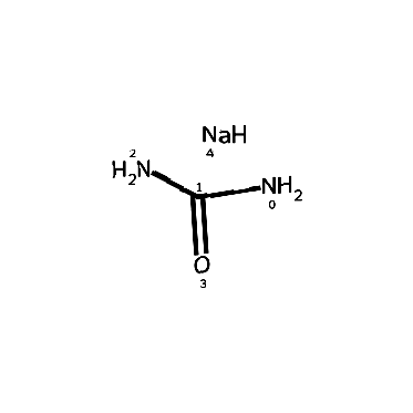 NC(N)=O.[NaH]